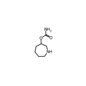 NC(=O)OC1CCCCNC1